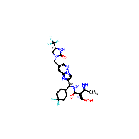 CC(=N)/C(=C\O)C(=O)N[C@H](c1cn2ncc(CN3C[C@@H](C(F)(F)F)NC3=O)cc2n1)C1CCC(F)(F)CC1